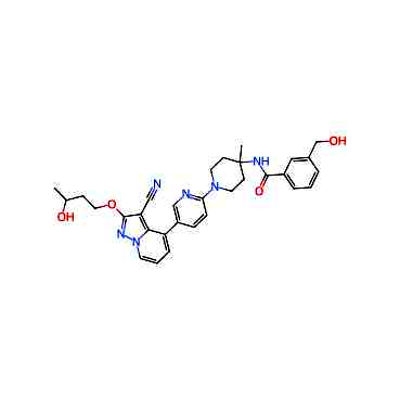 CC(O)CCOc1nn2cccc(-c3ccc(N4CCC(C)(NC(=O)c5cccc(CO)c5)CC4)nc3)c2c1C#N